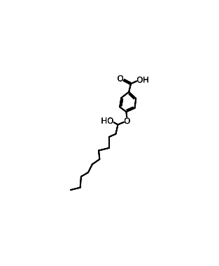 CCCCCCCCCCC(O)Oc1ccc(C(=O)O)cc1